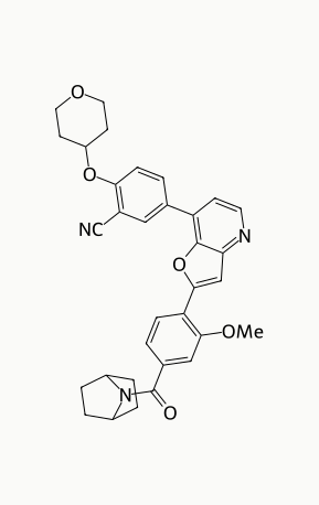 COc1cc(C(=O)N2C3CCC2CC3)ccc1-c1cc2nccc(-c3ccc(OC4CCOCC4)c(C#N)c3)c2o1